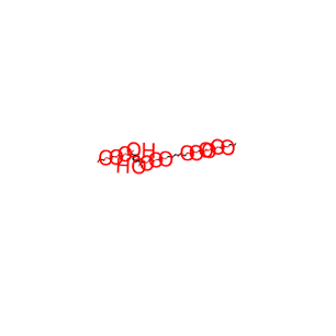 CCCOCCOCCOCC(C)(O)c1ccc(C(C)(O)COCCOCCOCCCCCCOCCOCCOOCCOCCOCCC)cc1